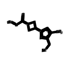 CC(C)(C)OC(=O)N1CC(n2cc([N+](=O)[O-])c(CC#N)n2)C1